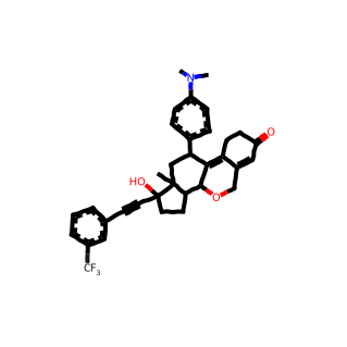 CN(C)c1ccc(C2CC3(C)C(CCC3(O)C#Cc3cccc(C(F)(F)F)c3)C3OCC4=CC(=O)CCC4=C23)cc1